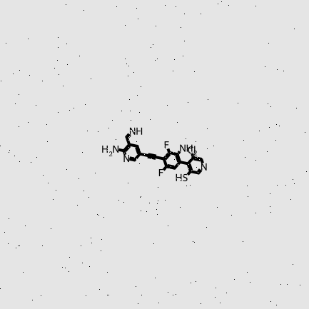 N=Cc1cc(C#Cc2c(F)cc(-c3c(S)cncc3Cl)c(N)c2F)cnc1N